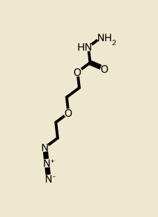 [N-]=[N+]=NCCOCCOC(=O)NN